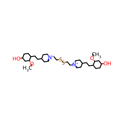 COC1CC(O)CCC1CCC1CC=[N+](CCSSCC[N+]2=CCC(CCC3CCC(O)CC3OC)CC2)CC1